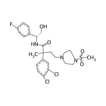 CC(CCN1CCN(S(C)(=O)=O)CC1)(C(=O)N[C@@H](CO)c1ccc(F)cc1)c1ccc(Cl)c(Cl)c1